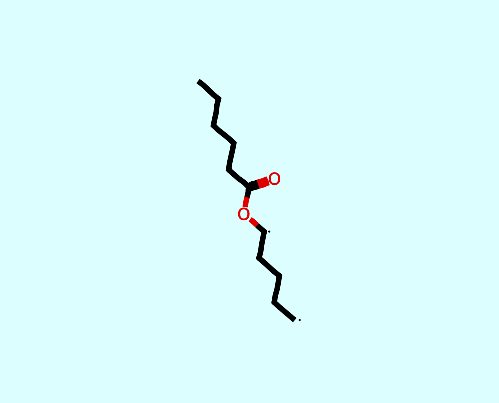 [CH2]CCC[CH]OC(=O)CCCCC